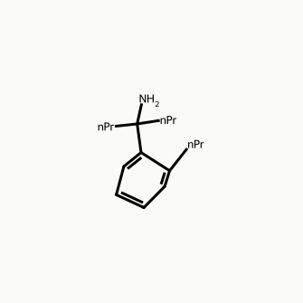 CCCc1ccccc1C(N)(CCC)CCC